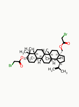 C=C(C)[C@@H]1CC[C@]2(COC(=O)CBr)CC[C@]3(C)[C@H](CC[C@@H]4[C@@]5(C)CC[C@H](OC(=O)CBr)C(C)(C)[C@@H]5CC[C@]43C)[C@@H]12